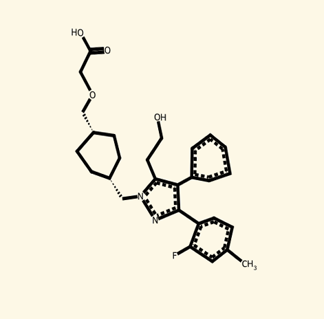 Cc1ccc(-c2nn(C[C@H]3CC[C@@H](COCC(=O)O)CC3)c(CCO)c2-c2ccccc2)c(F)c1